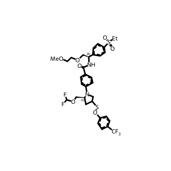 CCS(=O)(=O)c1ccc([C@H](COCCOC)NC(=O)c2ccc(N3CC(SOc4ccc(C(F)(F)F)cc4)C[C@H]3COC(F)F)cc2)cc1